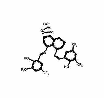 CC(=O)[O-].CC(=O)[O-].Oc1c(C=Nc2cccc3cccc(N=Cc4cc(C(F)(F)F)cc(C(F)(F)F)c4O)c23)cc(C(F)(F)F)cc1C(F)(F)F.[Co+2]